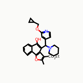 CCOC(=O)c1c(C)oc2c1c(C(c1ccnc(OCC3CC3)c1)N1CCCCC1)c(O)c1ccccc12